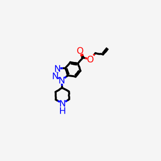 C=CCOC(=O)c1ccc2c(c1)nnn2C1CCNCC1